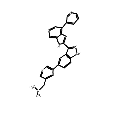 CN(C)Cc1cncc(-c2ccc3[nH]nc(-c4nc5c(-c6cccnc6)cncc5[nH]4)c3c2)c1